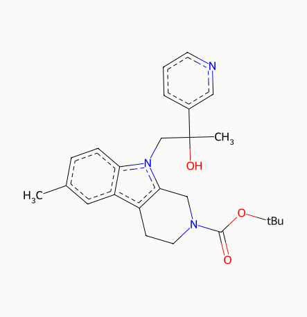 Cc1ccc2c(c1)c1c(n2CC(C)(O)c2cccnc2)CN(C(=O)OC(C)(C)C)CC1